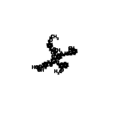 CCOCc1ccc(CC(=O)OC(CC)COC2CN(C(=O)Cc3ccc(CON(O)O)cc3)CC(OCc3cc(OC)c4ccccc4c3)C2c2ccc(OCCCOCc3ccccc3OC)cc2)cc1